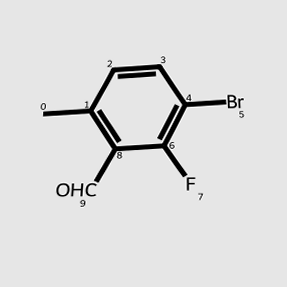 Cc1ccc(Br)c(F)c1C=O